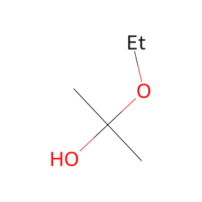 [CH2]COC(C)(C)O